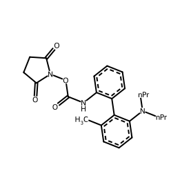 CCCN(CCC)c1cccc(C)c1-c1ccccc1NC(=O)ON1C(=O)CCC1=O